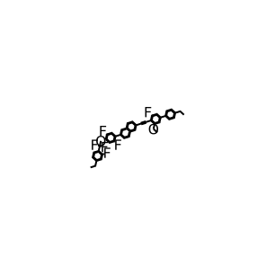 CCc1ccc(-c2cc(F)c(C#Cc3ccc4cc(-c5cc(F)c(OC(F)(F)c6ccc(CC)cc6F)cc5F)ccc4c3)c(OC)c2)cc1